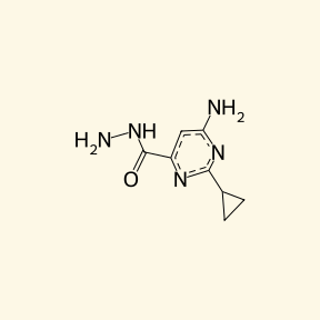 NNC(=O)c1cc(N)nc(C2CC2)n1